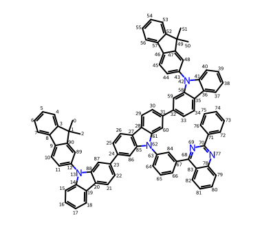 CC1(C)c2ccccc2-c2ccc(-n3c4ccccc4c4ccc(-c5ccc6c7ccc(-c8ccc9c%10ccccc%10n(-c%10ccc%11c(c%10)C(C)(C)c%10ccccc%10-%11)c9c8)cc7n(-c7cccc(-c8nc(-c9ccccc9)nc9ccccc89)c7)c6c5)cc43)cc21